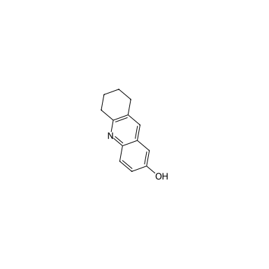 Oc1ccc2nc3c(cc2c1)CCCC3